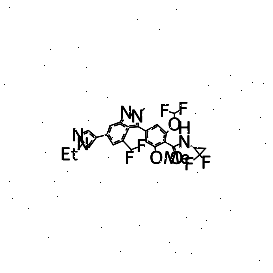 CCn1cc(-c2cc(C(F)F)c3c(-c4cc(OC)c(C(=O)N[C@@H]5CC5(F)F)c(OC(F)F)c4)n(C)nc3c2)cn1